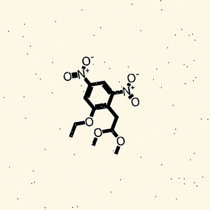 CCOc1cc([N+](=O)[O-])cc([N+](=O)[O-])c1CC(OC)OC